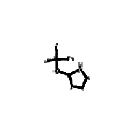 FC(F)(F)OC1[CH]CCN1